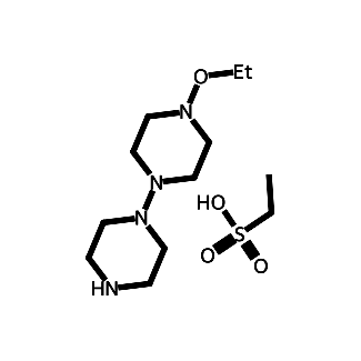 CCON1CCN(N2CCNCC2)CC1.CCS(=O)(=O)O